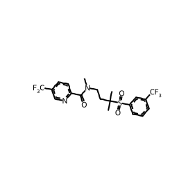 CN(CCC(C)(C)S(=O)(=O)c1cccc(C(F)(F)F)c1)C(=O)c1ccc(C(F)(F)F)cn1